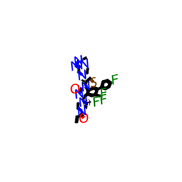 C=CC(=O)N1CCN(c2nc(=O)n3c4c(c(-c5ccc(F)cc5)c(C(F)(F)F)cc24)SC[C@@H]3CN2CCn3c(C)nnc3C2)[C@@H](C)C1